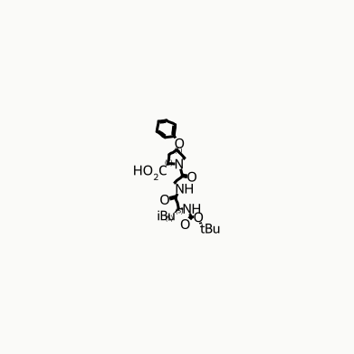 CC[C@H](C)[C@H](NC(=O)OC(C)(C)C)C(=O)NCC(=O)N1C[C@@H](Oc2ccccc2)C[C@H]1C(=O)O